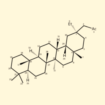 CC[C@]1(CC(C)=O)CC[C@]2(C)CC[C@]3(C)[C@H](CC[C@@H]4[C@@]5(C)CCCC(C)(C)[C@@H]5CC[C@]43C)[C@@H]2C1